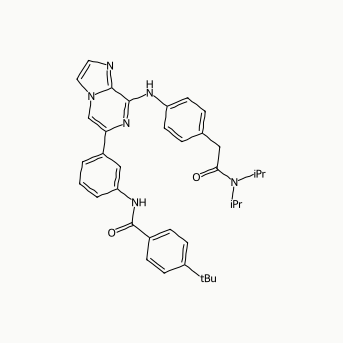 CC(C)N(C(=O)Cc1ccc(Nc2nc(-c3cccc(NC(=O)c4ccc(C(C)(C)C)cc4)c3)cn3ccnc23)cc1)C(C)C